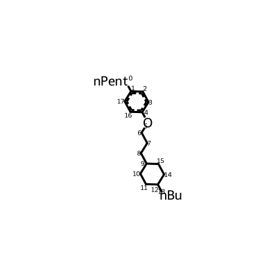 CCCCCc1ccc(OCCCC2CCC(CCCC)CC2)cc1